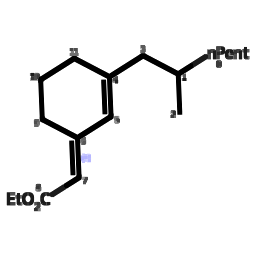 CCCCCC(C)CC1=C/C(=C/C(=O)OCC)CCC1